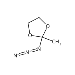 CC1(N=[N+]=[N-])OCCO1